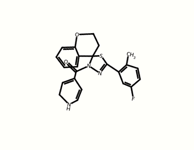 Cc1ccc(F)cc1C1=NN(C(=O)C2=CCNC=C2)C2(CCOc3ccccc32)S1